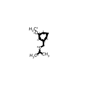 COc1cccc(CSC(C)C)c1